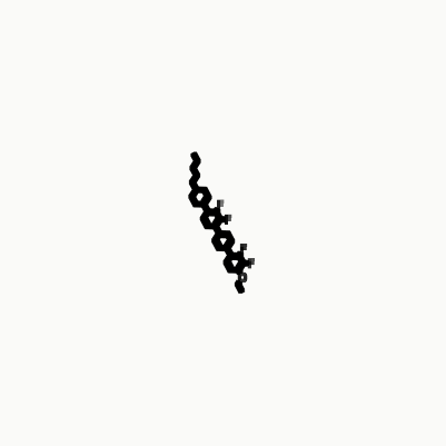 CCCCCC1CC=C(c2ccc(-c3ccc(-c4ccc(OCC)c(F)c4F)cc3)c(F)c2F)CC1